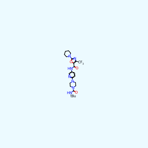 CC(C)(C)NC(=O)N1CCN(c2ccc(NC(=O)c3oc(N4CCCCC4)nc3C(F)(F)F)cn2)CC1